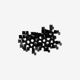 Bc1c(B)c(-c2c3c(B)c(B)c(B)c(B)c3c(-c3c(B)c(B)c(B)c4oc5c(B)c(B)c(B)c(B)c5c34)c3c(B)c(B)c(B)c(B)c23)c(B)c(-c2c(B)c(B)c(B)c3c(B)c(B)c4c(B)c(B)c(B)c(B)c4c23)c1B